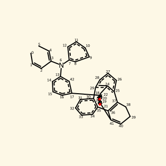 C/C=C\C(=C/C)N(c1ccccc1)c1cccc(-c2ccc3c(c2)-c2c4cccc2-c2ccccc2C2=C4CCC=C23)c1